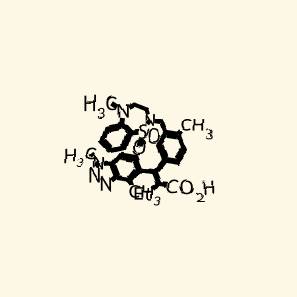 CCC(C(=O)O)C(c1ccc(C)c(CN2CCN(C)c3ccccc3S2(=O)=O)c1)c1ccc2c(nnn2C)c1C